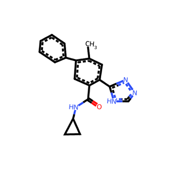 Cc1cc(-c2nnc[nH]2)c(C(=O)NC2CC2)cc1-c1ccccc1